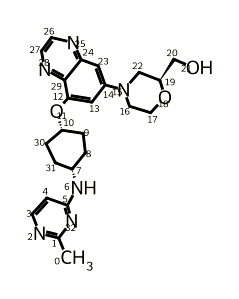 Cc1nccc(N[C@H]2CC[C@@H](Oc3cc(N4CCO[C@H](CO)C4)cc4nccnc34)CC2)n1